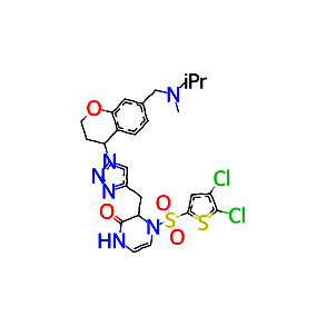 CC(C)N(C)Cc1ccc2c(c1)OCCC2n1cc(CC2C(=O)NC=CN2S(=O)(=O)c2cc(Cl)c(Cl)s2)nn1